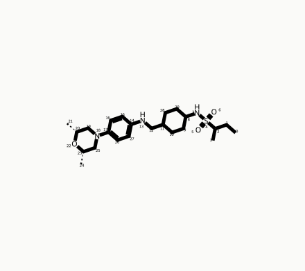 CCC(C)S(=O)(=O)NC1CCC(CNc2ccc(N3C[C@@H](C)O[C@@H](C)C3)cc2)CC1